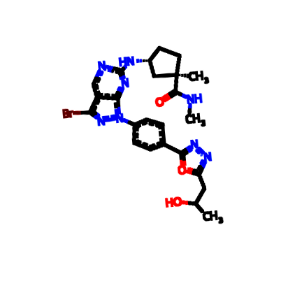 CNC(=O)[C@]1(C)CC[C@@H](Nc2ncc3c(Br)nn(-c4ccc(-c5nnc(CC(C)O)o5)cc4)c3n2)C1